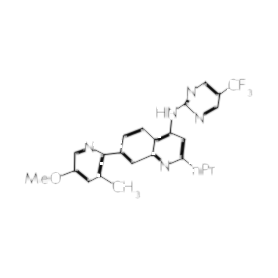 CCCc1cc(Nc2ncc(C(F)(F)F)cn2)c2ccc(-c3ncc(OC)cc3C)cc2n1